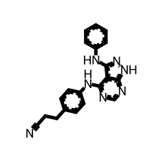 N#CCCc1ccc(Nc2ncnc3[nH]nc(Nc4ccccc4)c23)cc1